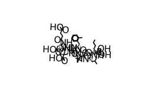 CCCC[C@H](NC(=O)[C@H](CC(C)C)NC(=O)[C@@H](NC(=O)[C@H](Cc1ccccc1C)NC(=O)[C@H](CCC(=O)O)NC(=O)[C@H](CC(=O)O)NC(=O)CCC(=O)O)C(C)(C)C)B(O)O